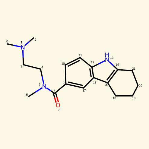 CN(C)CCN(C)C(=O)c1ccc2[nH]c3c(c2c1)CCCC3